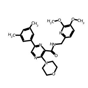 COc1ccc(CNC(=O)c2nc(-c3cc(C)cc(C)c3)cnc2N2CCOCC2)nc1OC